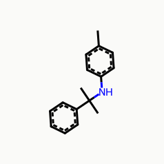 Cc1ccc(NC(C)(C)c2ccccc2)cc1